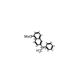 COc1cccc2cc(N(C)c3ccccc3)ccc12